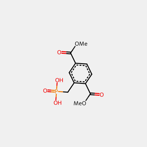 COC(=O)c1ccc(C(=O)OC)c(CP(=O)(O)O)c1